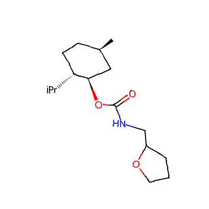 CC(C)[C@@H]1CC[C@@H](C)C[C@H]1OC(=O)NCC1CCCO1